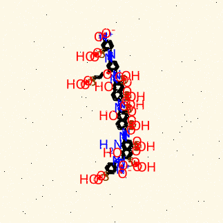 Nc1c(N=Nc2ccc3c(O)c(N=Nc4ccc5c(O)c(N=Nc6ccc(N=Nc7ccc([N+](=O)[O-])cc7SOOO)cc6OCCCSOOO)c(S(=O)(=O)O)cc5c4S(=O)(=O)O)c(S(=O)(=O)O)cc3c2S(=O)(=O)O)cc(S(=O)(=O)O)c2cc(SOOO)c(N=Nc3ccc(SOOO)cc3[N+](=O)[O-])c(O)c12